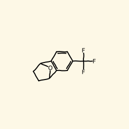 FC(F)(F)c1ccc2c(c1)C1CCC2O1